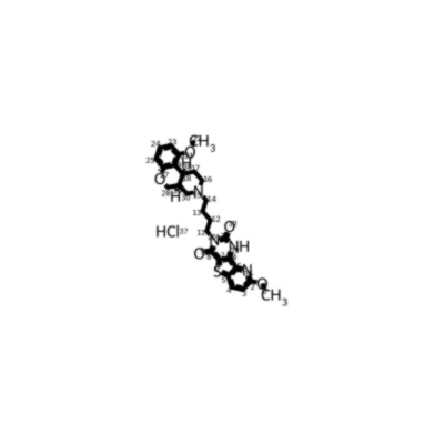 COc1ccc2sc3c(=O)n(CCCCN4CC[C@H]5c6c(OC)cccc6OC[C@@H]5C4)c(=O)[nH]c3c2n1.Cl